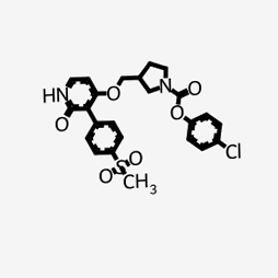 CS(=O)(=O)c1ccc(-c2c(OCC3CCN(C(=O)Oc4ccc(Cl)cc4)C3)cc[nH]c2=O)cc1